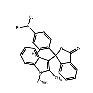 CCCCCn1c(C)c(C2(c3ccc(N(CC)CC)cc3C)OC(=O)c3cccnc32)c2ccccc21